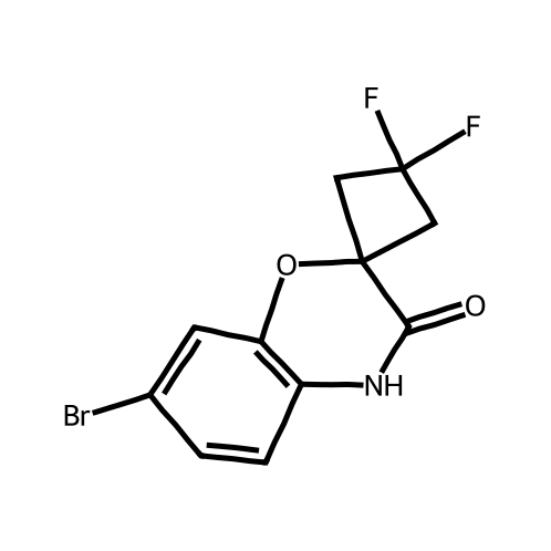 O=C1Nc2ccc(Br)cc2OC12CC(F)(F)C2